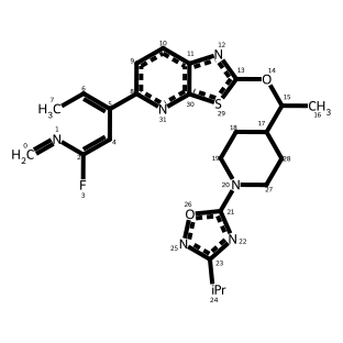 C=N/C(F)=C\C(=C/C)c1ccc2nc(OC(C)C3CCN(c4nc(C(C)C)no4)CC3)sc2n1